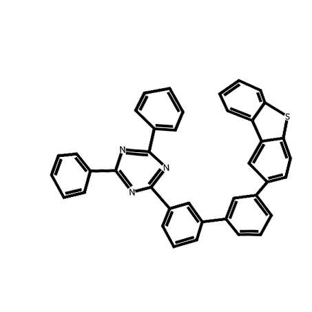 c1ccc(-c2nc(-c3ccccc3)nc(-c3cccc(-c4cccc(-c5ccc6sc7ccccc7c6c5)c4)c3)n2)cc1